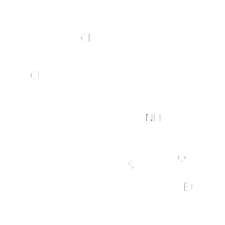 CCOC(=S)Nc1ccc(Cl)c(Cl)c1